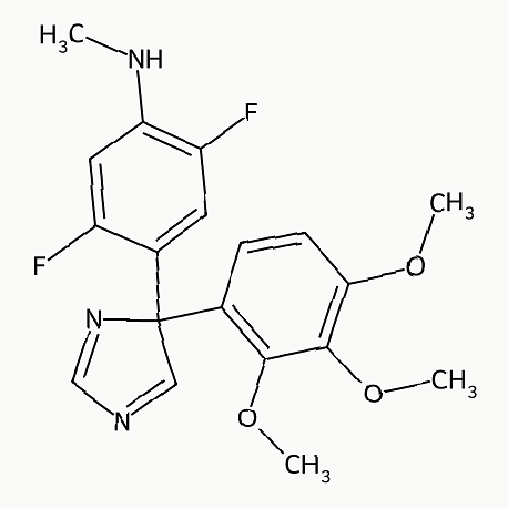 CNc1cc(F)c(C2(c3ccc(OC)c(OC)c3OC)C=NC=N2)cc1F